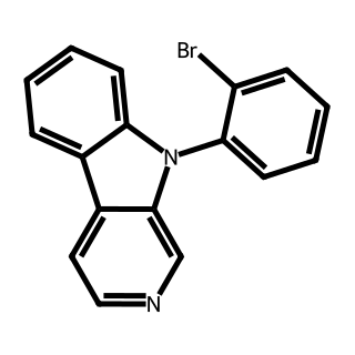 Brc1ccccc1-n1c2ccccc2c2ccncc21